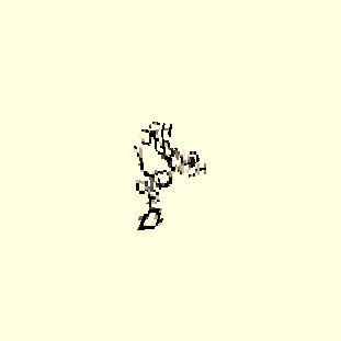 N#CCC1CN(c2nc(C(=O)O)nc3c2CN(C(=O)O)C3)CCN1C(=O)OCc1ccccc1